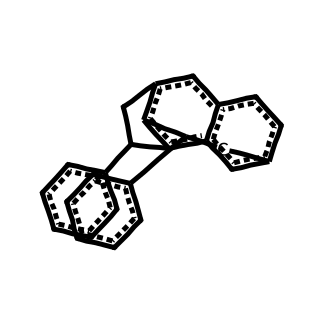 c1ccc(C2Cc3ccc4cc5c2c(c4c3)C(c2ccccc2)C5)cc1